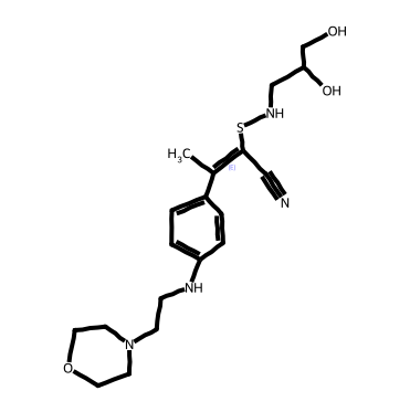 C/C(=C(/C#N)SNCC(O)CO)c1ccc(NCCN2CCOCC2)cc1